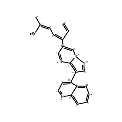 C=C/C(=C\C=C(\C)CCC)c1cnc2c(-c3ccnc4ccccc34)cnn2c1